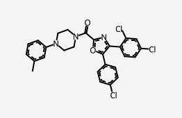 Cc1cccc(N2CCN(C(=O)c3nc(-c4ccc(Cl)cc4Cl)c(-c4ccc(Cl)cc4)o3)CC2)c1